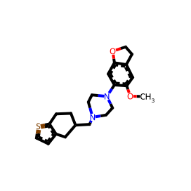 COc1cc2c(cc1N1CCN(CC3CCc4sccc4C3)CC1)OCC2